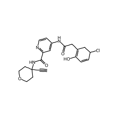 C#CC1(NC(=O)c2cc(NC(=O)CC3=C(O)C=CC(Cl)C3)ccn2)CCOCC1